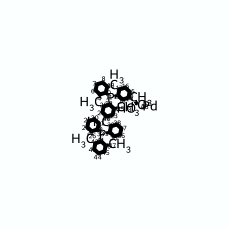 CC(=O)O.Cc1ccccc1P(c1ccccc1C)c1ccccc1C.Cc1ccccc1P(c1ccccc1C)c1ccccc1C.[Pd]